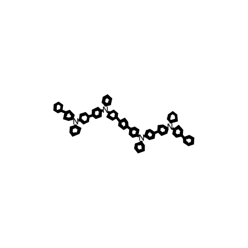 C1=CCCC(c2ccc(N(C3=CCC(c4ccc(N(c5ccccc5)C5C=CC(c6ccc(-c7ccc(N(c8ccccc8)c8ccc(-c9ccc(N(C%10=CCCC=C%10)c%10ccc(-c%11ccccc%11)cc%10)cc9)cc8)cc7)cc6)=CC5)cc4)C=C3)c3ccccc3)cc2)=C1